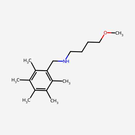 COCCCCNCc1c(C)c(C)c(C)c(C)c1C